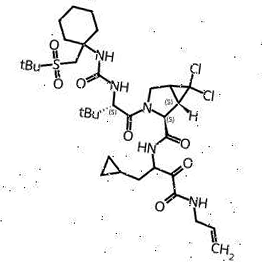 C=CCNC(=O)C(=O)C(CC1CC1)NC(=O)[C@@H]1[C@@H]2C(CN1C(=O)[C@@H](NC(=O)NC1(CS(=O)(=O)C(C)(C)C)CCCCC1)C(C)(C)C)C2(Cl)Cl